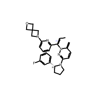 C=C1C=CC(N2CCC[C@@H]2c2cccc(F)c2)=NN1/C(=C\C)c1cccc(N2CC3(COC3)C2)n1